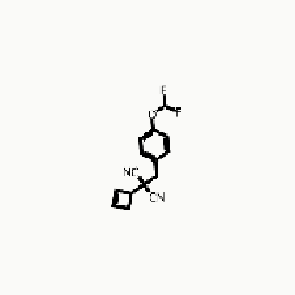 N#CC(C#N)(Cc1ccc(OC(F)F)cc1)C1C=CC1